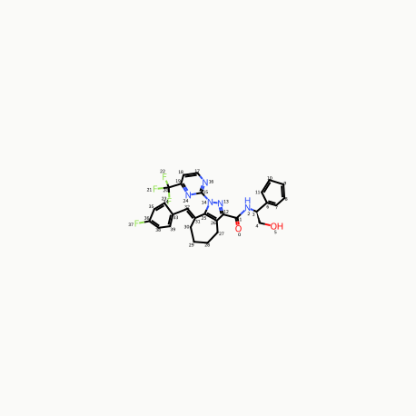 O=C(N[C@H](CO)c1ccccc1)c1nn(-c2nccc(C(F)(F)F)n2)c2c1CCCC/C2=C\c1ccc(F)cc1